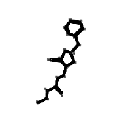 CCOC(=O)CCC1CN(Cc2ccccc2)CC1=O